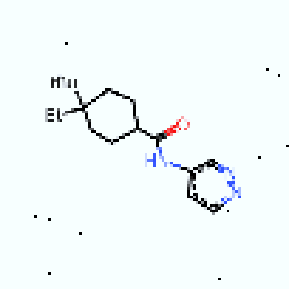 CCC1(C(C)(C)C)CCC(C(=O)Nc2ccnnc2)CC1